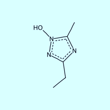 CCc1nc(C)n(O)n1